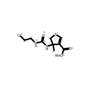 COC(=O)C1=CSCC1(C)NC(=O)NCCCl